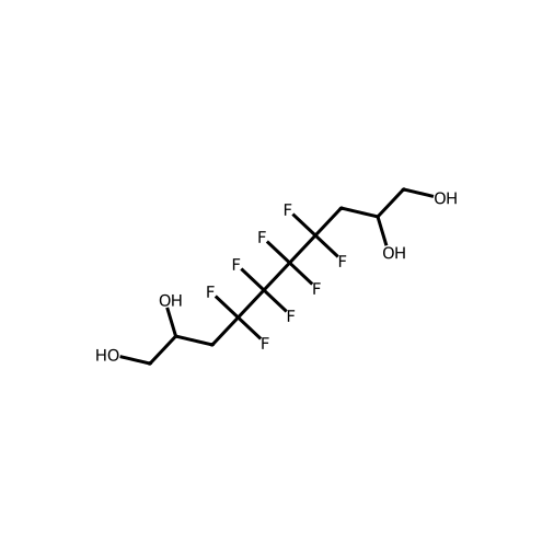 OCC(O)CC(F)(F)C(F)(F)C(F)(F)C(F)(F)CC(O)CO